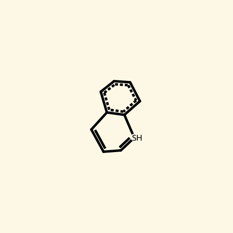 C1=Cc2ccccc2[SH]=C1